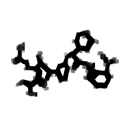 O=C(O)COc1c(C(=O)O)sc(-c2cccc(OC(C(=O)Nc3ccccc3[N+](=O)[O-])C3CCNCC3)c2)c1Br